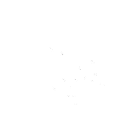 Cc1cccc(C)c1-c1cc(-c2cc(-n3c4cccnc4c4ncccc43)c(-n3c4ccc(C(C)(C)C)cc4c4cc(C(C)(C)C)ccc43)c(-n3c4cccnc4c4ncccc43)c2)nc(-c2c(C)cccc2C)n1